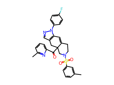 Cc1cccc(S(=O)(=O)N2CCC3=Cc4c(cnn4-c4ccc(F)cc4)CC3(C(=O)c3cccc(C)n3)C2)c1